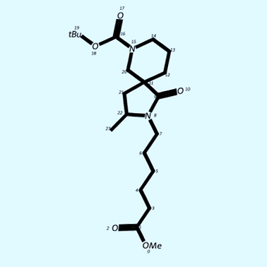 COC(=O)CCCCCN1C(=O)C2(CCCN(C(=O)OC(C)(C)C)C2)CC1C